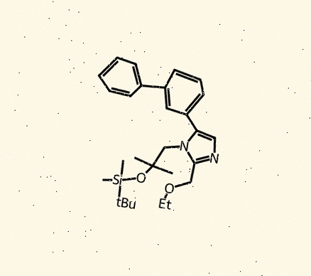 CCOCc1ncc(-c2cccc(-c3ccccc3)c2)n1CC(C)(C)O[Si](C)(C)C(C)(C)C